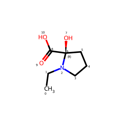 CCN1CCC[C@@]1(O)C(=O)O